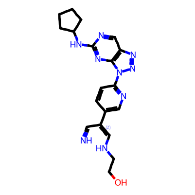 N=C/C(=C\NCCO)c1ccc(-n2nnc3cnc(NC4CCCC4)nc32)nc1